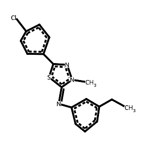 CCc1cccc(N=c2sc(-c3ccc(Cl)cc3)nn2C)c1